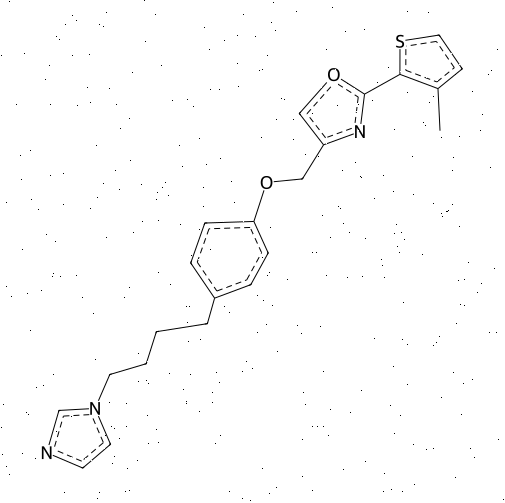 Cc1ccsc1-c1nc(COc2ccc(CCCCn3ccnc3)cc2)co1